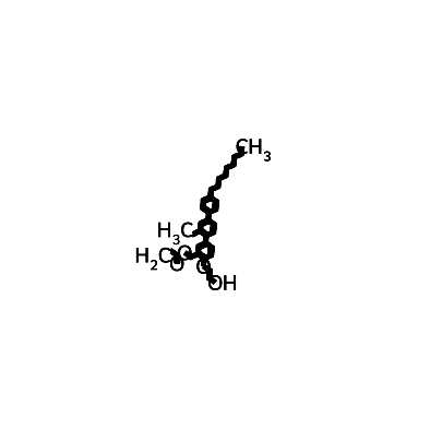 C=CC(=O)OCc1cc(-c2ccc(-c3ccc(CCCCCCCCC)cc3)cc2CC)ccc1OCCO